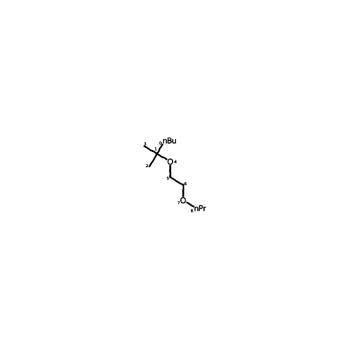 CCCCC(C)(C)OCCOCCC